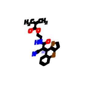 C=C(C)C(=O)OCCNC(=O)/C(C#N)=C1/c2ccccc2Sc2ccsc21